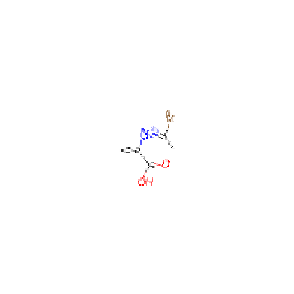 C=C(/N=C(\C)Br)C(=O)O